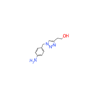 Nc1ccc(Cn2cc(CCO)nn2)cc1